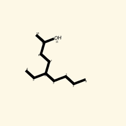 CCCCC(CC)CCC(C)O